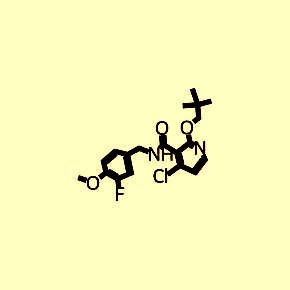 COc1ccc(CNC(=O)c2c(Cl)ccnc2OCC(C)(C)C)cc1F